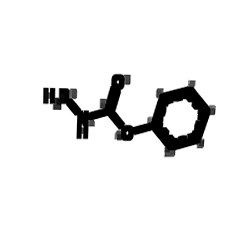 BNC(=O)Oc1ccccc1